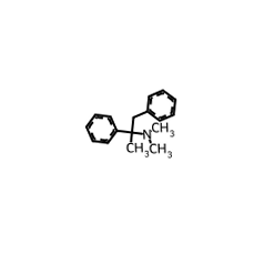 CN(C)C(C)(Cc1ccccc1)c1ccccc1